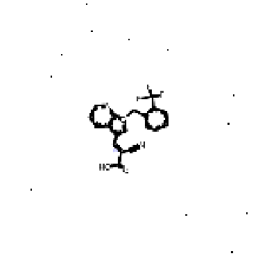 N#C/C(=C\c1cn(Cc2ccccc2C(F)(F)F)c2ncccc12)C(=O)O